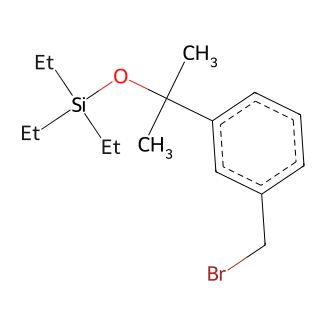 CC[Si](CC)(CC)OC(C)(C)c1cccc(CBr)c1